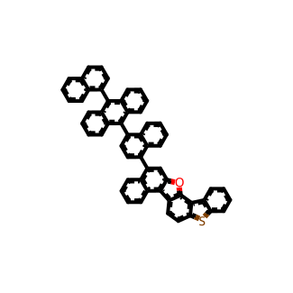 c1ccc2c(-c3c4ccccc4c(-c4ccc(-c5cc6oc7c(ccc8sc9ccccc9c87)c6c6ccccc56)c5ccccc45)c4ccccc34)cccc2c1